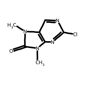 Cn1c(=O)n(C)c2nc(Cl)ncc21